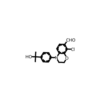 CC(C)(O)c1ccc(N2CCOc3c2ccc(C=O)c3Cl)cc1